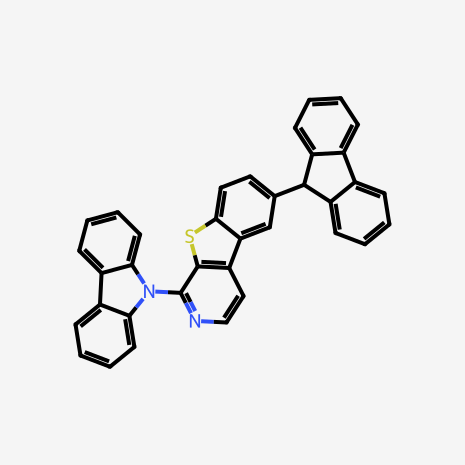 c1ccc2c(c1)-c1ccccc1C2c1ccc2sc3c(-n4c5ccccc5c5ccccc54)nccc3c2c1